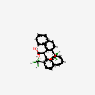 O=C(O)C(c1c(C(F)(F)F)ccc2ccccc12)c1c(C(F)(F)F)ccc2ccccc12